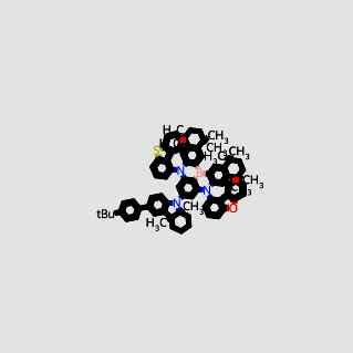 CC(C)(C)c1ccc(-c2ccc3c(c2)C2(C)CCCCC2(C)N3c2cc3c4c(c2)N(c2cccc5sc6ccccc6c25)c2cc5c(cc2B4c2cc4c(cc2N3c2cccc3oc6ccccc6c23)C(C)(C)CCC4(C)C)C(C)(C)CCC5(C)C)cc1